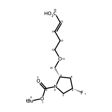 CC(C)(C)OC(=O)N1C[C@@H](F)C[C@H]1COCCC=CC(=O)O